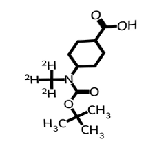 [2H]C([2H])([2H])N(C(=O)OC(C)(C)C)C1CCC(C(=O)O)CC1